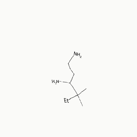 CCC(C)(C)C(N)CCN